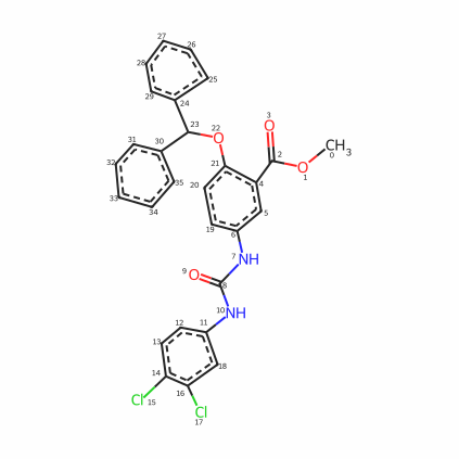 COC(=O)c1cc(NC(=O)Nc2ccc(Cl)c(Cl)c2)ccc1OC(c1ccccc1)c1ccccc1